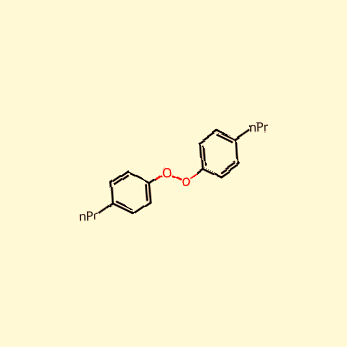 CCCc1ccc(OOc2ccc(CCC)cc2)cc1